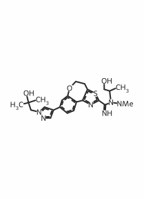 CNN(C(=N)c1nc2c(s1)CCOc1cc(-c3cnn(CC(C)(C)O)c3)ccc1-2)C(C)CO